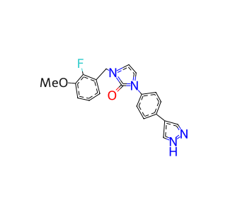 COc1cccc(Cn2ccn(-c3ccc(-c4cn[nH]c4)cc3)c2=O)c1F